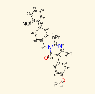 CCCc1nc(CC)c(-c2ccc(OC(C)C)cc2)c(=O)n1Cc1ccc(-c2ccccc2C#N)cc1